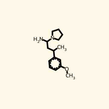 COc1cccc(C(C)CC(N)N2CCCC2)c1